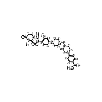 O=C1CC[C@H](NC(=O)c2ccc(N3CCN(CC4CCN(c5ccc(C(=O)O)cc5)CC4)CC3)cc2F)C(=O)N1